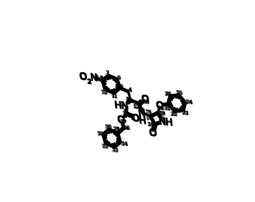 O=C(N[C@@H](Cc1ccc([N+](=O)[O-])cc1)C(=O)N[C@@H]1C(=O)N[C@H]1Oc1ccccc1)OCc1ccccc1